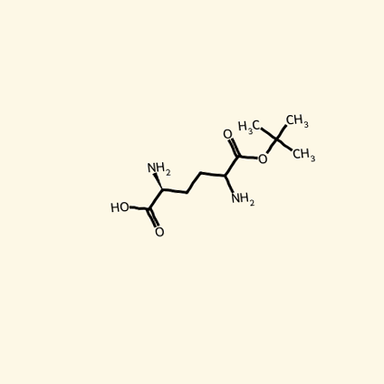 CC(C)(C)OC(=O)C(N)CC[C@H](N)C(=O)O